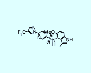 COc1ccc2[nH]cc(C)c2c1NS(=O)(=O)c1ccc(-n2cc(C(F)(F)F)cn2)nc1